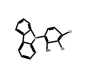 CCCc1c(-n2c3ccccc3c3ccccc32)ccc(Cl)c1CC